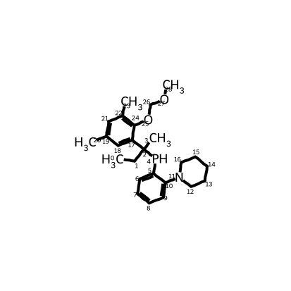 CCC(C)(Pc1ccccc1N1CCCCC1)c1cc(C)cc(C)c1OCOC